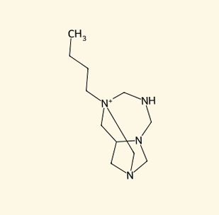 CCCC[N+]12CNCN3CN(CC3C1)C2